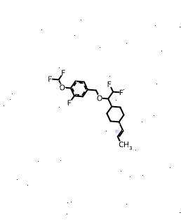 C/C=C/C1CCC(C(OCc2ccc(OC(F)F)c(F)c2)C(F)F)CC1